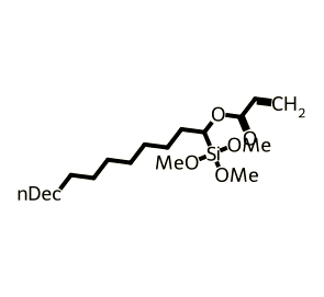 C=CC(=O)OC(CCCCCCCCCCCCCCCCC)[Si](OC)(OC)OC